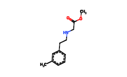 COC(=O)CNCCc1cccc(C)c1